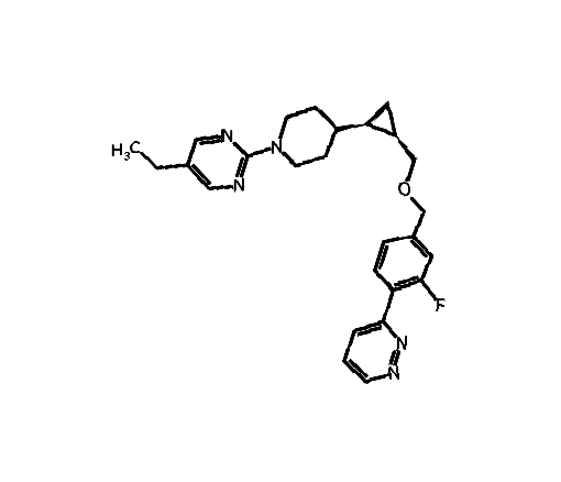 CCc1cnc(N2CCC([C@H]3C[C@H]3COCc3ccc(-c4cccnn4)c(F)c3)CC2)nc1